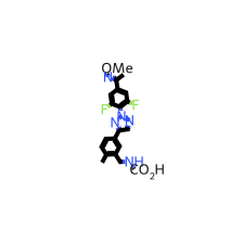 CON=C(C)c1cc(F)c(-n2ncc(-c3ccc(C)c(CNC(=O)O)c3)n2)c(F)c1